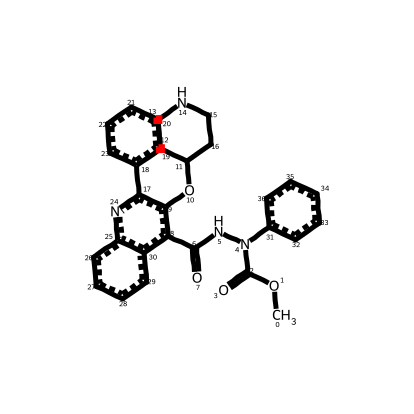 COC(=O)N(NC(=O)c1c(OC2CCNCC2)c(-c2ccccc2)nc2ccccc12)c1ccccc1